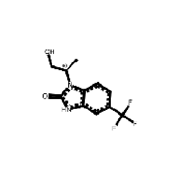 C[C@H](CO)n1c(=O)[nH]c2cc(C(F)(F)F)ccc21